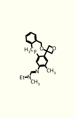 CCN(C)C=Nc1cc(F)c(C2(OCc3ccccc3C)COC2)cc1C